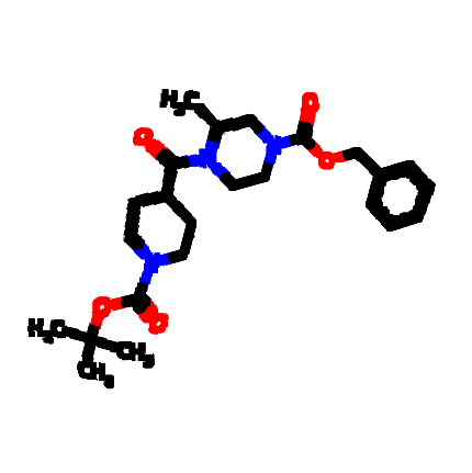 C[C@H]1CN(C(=O)OCc2ccccc2)CCN1C(=O)C1CCN(C(=O)OC(C)(C)C)CC1